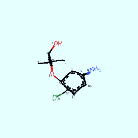 CC(C)(CO)Oc1cc(N)ccc1Cl